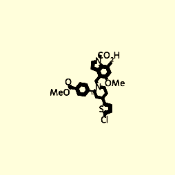 COC(=O)c1ccc([C@@H]2CC(c3ccc(Cl)s3)CCN2Cc2c(OC)cc(C)c3c2ccn3C(=O)O)cc1